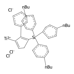 CCCCc1ccc([Si](C2=C(c3ccccc3)[C]([Ti+3])=CC2)(c2ccc(CCCC)cc2)c2ccc(CCCC)cc2)cc1.[Cl-].[Cl-].[Cl-]